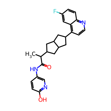 CC(C(=O)Nc1ccc(O)nc1)C1CC2CC(c3ccnc4ccc(F)cc34)CC2C1